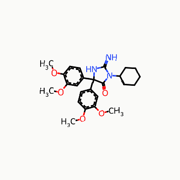 COc1ccc(C2(c3ccc(OC)c(OC)c3)NC(=N)N(C3CCCCC3)C2=O)cc1OC